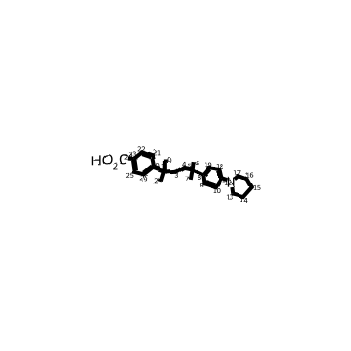 CC(C)(CCC(C)(C)c1ccc(N2CCCCC2)cc1)c1ccc(C(=O)O)cc1